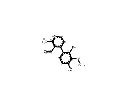 COc1c(Cl)ccc(-c2ccnc(C)c2[C]=O)c1F